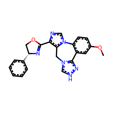 COc1ccc2c(c1)-c1n[nH]c[n+]1Cc1c(C3=N[C@H](c4ccccc4)CO3)ncn1-2